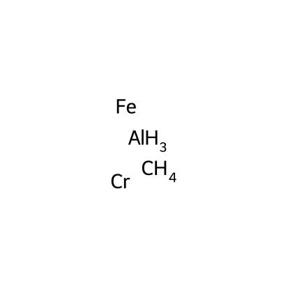 C.[AlH3].[Cr].[Fe]